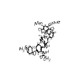 C=CC(=O)Nc1cc(OC2CCN(C)CC2)ccc1Nc1cc(-c2cccnc2Nc2c(Cl)c(OC)cc(OC)c2Cl)ncn1